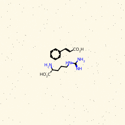 N=C(N)NCCC[C@H](N)C(=O)O.O=C(O)C=Cc1ccccc1